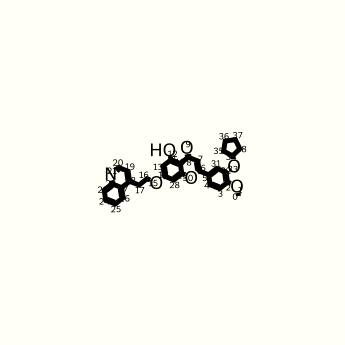 COc1ccc(-c2cc(=O)c3c(O)cc(OCCc4ccnc5ccccc45)cc3o2)cc1OC1CCCC1